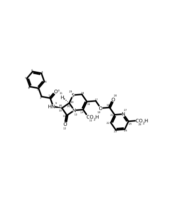 O=C(Cc1ccccc1)N[C@@H]1C(=O)N2C(C(=O)O)=C(COC(=O)c3cccc(C(=O)O)n3)CS[C@H]12